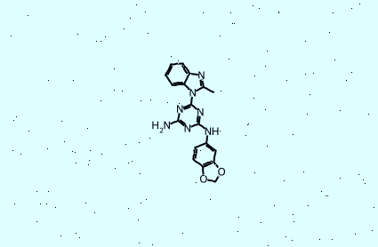 Cc1nc2ccccc2n1-c1nc(N)nc(Nc2ccc3c(c2)OCO3)n1